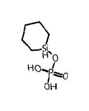 O=P(O)(O)O[SiH]1CCCCC1